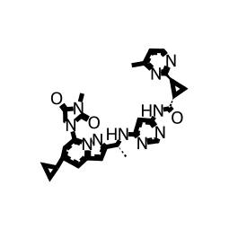 Cc1ccnc([C@H]2C[C@@H]2C(=O)Nc2cc(N[C@H](C)c3cc4cc(C5CC5)cc(N5CC(=O)N(C)C5=O)n4n3)ncn2)n1